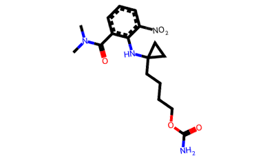 CN(C)C(=O)c1cccc([N+](=O)[O-])c1NC1(CCCCOC(N)=O)CC1